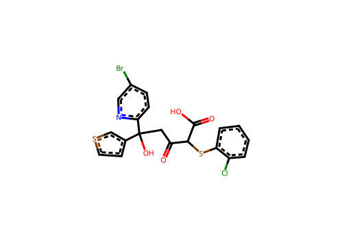 O=C(O)C(Sc1ccccc1Cl)C(=O)CC(O)(c1ccsc1)c1ccc(Br)cn1